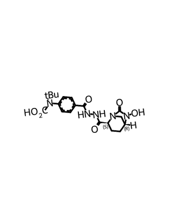 CC(C)(C)N(C(=O)O)c1ccc(C(=O)NNC(=O)[C@@H]2CC[C@@H]3CN2C(=O)N3O)cc1